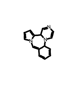 C1=CC2=Cn3cccc3C3C=NC=CN3C2C=C1